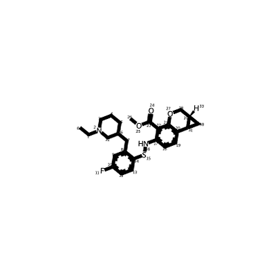 CCN1CCCC(Cc2cc(F)ccc2SNc2ccc3c(c2C(=O)OC)OC[C@@H]2CC32)C1